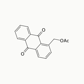 CC(=O)OCc1cccc2c1C(=O)c1ccccc1C2=O